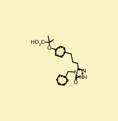 CC(C)(Oc1ccc(CCCc2n[nH]c(=O)n2Cc2ccccc2)cc1)C(=O)O